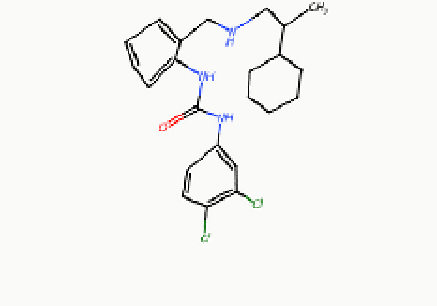 CC(CNCc1ccccc1NC(=O)Nc1ccc(Cl)c(Cl)c1)C1CCCCC1